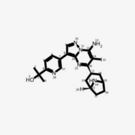 CC(C)(O)c1ccc(-c2cnn3c(N)c(I)c([C@H]4CC5CC[C@H](C4)N5)nc23)cn1